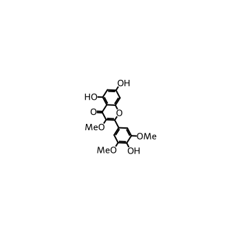 COc1cc(-c2oc3cc(O)cc(O)c3c(=O)c2OC)cc(OC)c1O